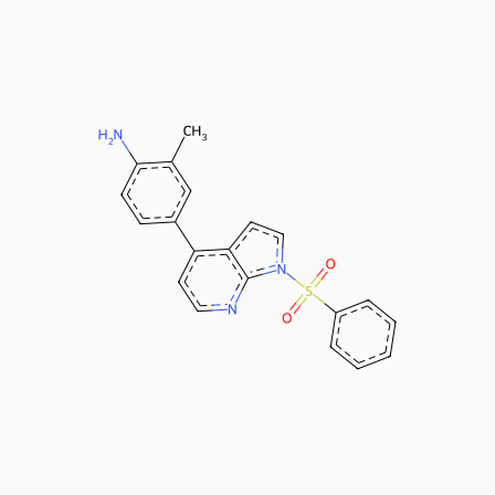 Cc1cc(-c2ccnc3c2ccn3S(=O)(=O)c2ccccc2)ccc1N